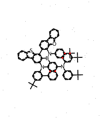 CC(C)(C)c1ccc(N2B3c4cc(N(c5cccc(C(C)(C)C)c5)c5cccc(C(C)(C)C)c5)ccc4N(c4ccc(C(C)(C)C)cc4-c4ccccc4)c4cc5c(sc6ccccc65)c(c43)-c3ccc4c(oc5ccccc54)c32)cc1